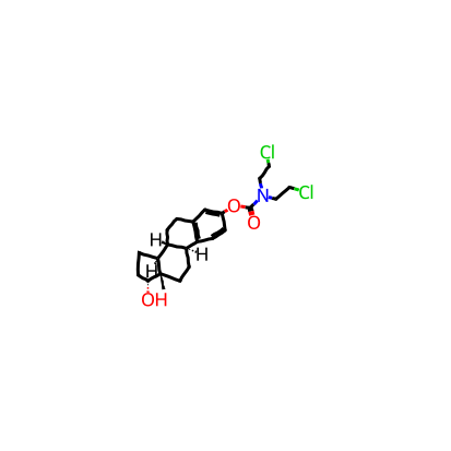 C[C@]12CC[C@@H]3c4ccc(OC(=O)N(CCCl)CCCl)cc4CC[C@H]3[C@@H]1CC[C@H]2O